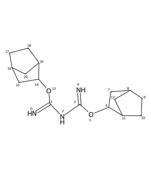 N=C(NC(=N)OC1CC2CCC1C2)OC1CC2CCC1C2